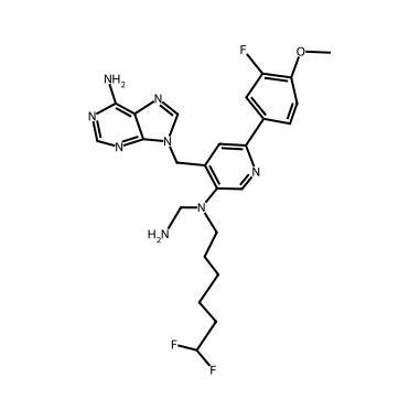 COc1ccc(-c2cc(Cn3cnc4c(N)ncnc43)c(N(CN)CCCCCC(F)F)cn2)cc1F